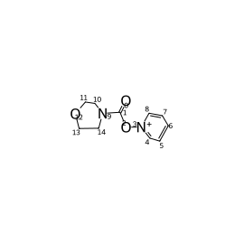 O=C(O[n+]1ccccc1)N1CCOCC1